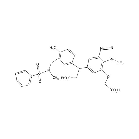 CCOC(=O)CC(c1ccc(C)c(CN(C)S(=O)(=O)c2ccccc2)c1)c1cc(OCC(=O)O)c2c(c1)nnn2C